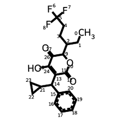 CCC(CCC(F)(F)F)C1OC(=O)C(C(c2ccccc2)C2CC2)=C(O)C1=O